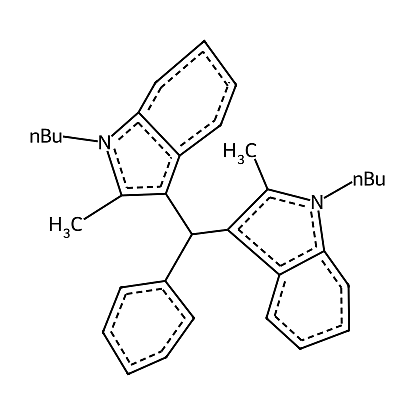 CCCCn1c(C)c(C(c2ccccc2)c2c(C)n(CCCC)c3ccccc23)c2ccccc21